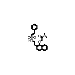 CN(C)C(=O)COc1c(CCNS(=O)(=O)C=Cc2ccccc2)ccc2ccccc12